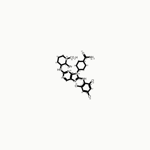 CC(C)C1C(Nc2ncc3nc(Nc4c(Cl)cc(Cl)cc4Cl)n(C4CCC(C(N)=O)CC4)c3n2)CCCN1C(=O)O